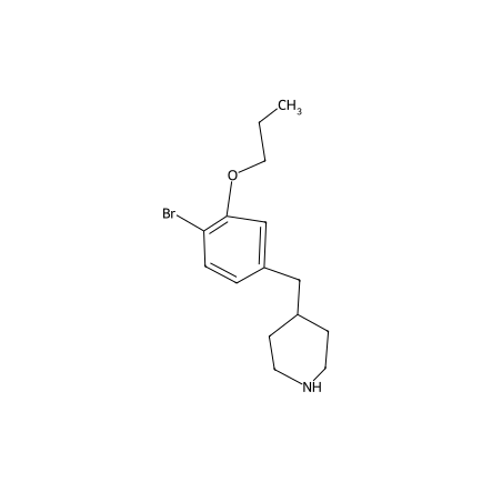 CCCOc1cc(CC2CCNCC2)ccc1Br